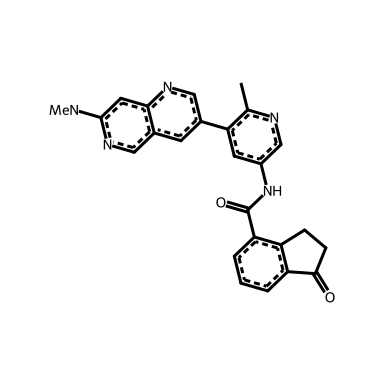 CNc1cc2ncc(-c3cc(NC(=O)c4cccc5c4CCC5=O)cnc3C)cc2cn1